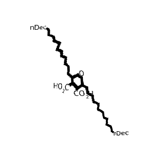 CCCCCCCCCCCCCCCCCCCCCCC1C(C(=O)O)=C(C(=O)O)C(CCCCCCCCCCCCCCCCCCCCCC)C2OC12